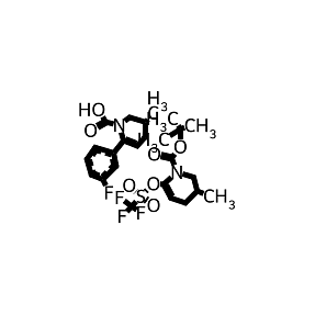 CC1CC=C(OS(=O)(=O)C(F)(F)F)N(C(=O)OC(C)(C)C)C1.CC1CC=C(c2cccc(F)c2)N(C(=O)O)C1